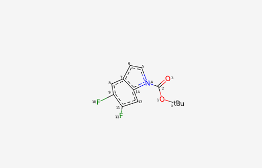 CC(C)(C)OC(=O)n1ccc2cc(F)c(F)cc21